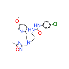 COc1ccc([C@@H]2CN(Cc3noc(C)n3)CC[C@H]2NC(=O)Nc2ccc(Cl)cc2)nc1